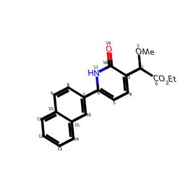 CCOC(=O)C(OC)c1ccc(-c2ccc3ccccc3c2)[nH]c1=O